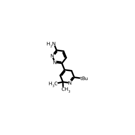 CC1(C)C=C(c2ccc(N)nn2)CC(C(C)(C)C)=N1